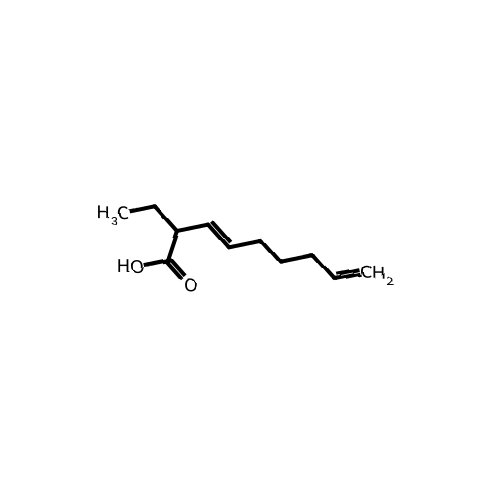 C=CCCCC=CC(CC)C(=O)O